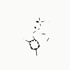 CC.CCNP(=O)(Oc1ccc(C)cc1[N+](=O)[O-])SP(N)(=O)O